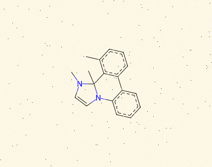 Cc1cccc2c1C1(C)N(C)C=CN1c1ccccc1-2